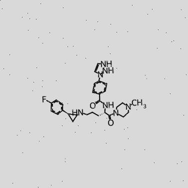 CN1CCN(C(=O)[C@H](CCCN[C@H]2C[C@H]2c2ccc(F)cc2)NC(=O)c2ccc(N3C=CNN3)cc2)CC1